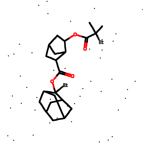 CCC(C)(C)C(=O)OC1CC2CC(C(=O)OC3(CC)C4CC5CC(C4)CC3C5)C1C2